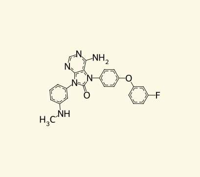 CNc1cccc(-n2c(=O)n(-c3ccc(Oc4cccc(F)c4)cc3)c3c(N)ncnc32)c1